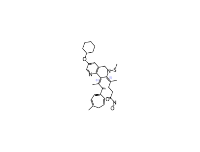 C=C(C1=CC=C(C)CC=C1)/C(C)=C1\C(=C(\C)CCC(=O)N=O)N(SC)Cc2cc(OC3CCCCC3)cnc21